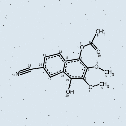 COc1c(OC)c(OC(C)=O)c2ccc(C#N)cc2c1O